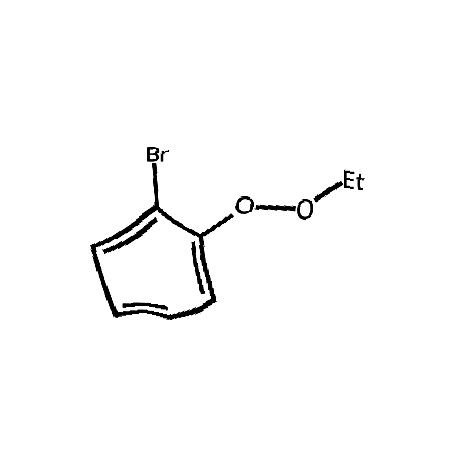 CCOOc1ccccc1Br